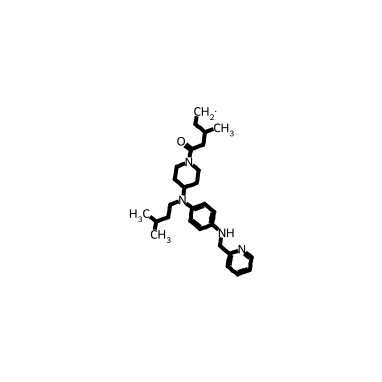 [CH2]CC(C)CC(=O)N1CCC(N(CCC(C)C)c2ccc(NCc3ccccn3)cc2)CC1